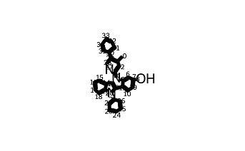 Cc1cc(-n2c3cc(O)ccc3c3c2c2ccccc2n3-c2ccccc2)ncc1-c1ccccc1